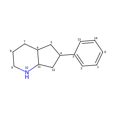 c1ccc(C2CC3CCCNC3C2)cc1